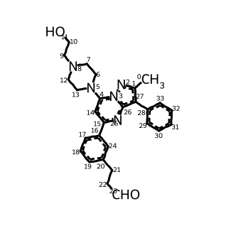 Cc1nn2c(N3CCN(CCO)CC3)cc(-c3cccc(CCC=O)c3)nc2c1-c1ccccc1